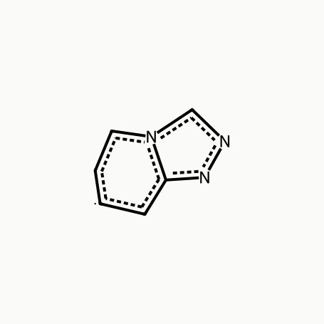 [c]1ccn2cnnc2c1